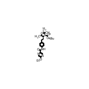 CCOc1cnc(C(=O)Nc2ccc(CC[C@H]3[C@H](C)OC(C)(C)N3C(=O)OC(C)(C)C)cc2)cn1